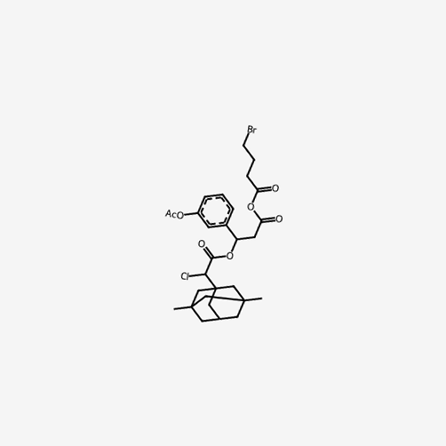 CC(=O)Oc1cccc(C(CC(=O)OC(=O)CCCBr)OC(=O)C(Cl)C23CC4CC(C)(CC(C)(C4)C2)C3)c1